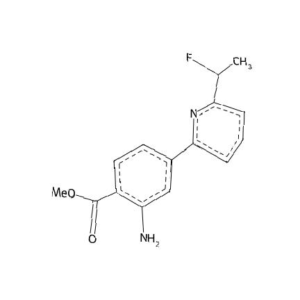 COC(=O)c1ccc(-c2cccc(C(C)F)n2)cc1N